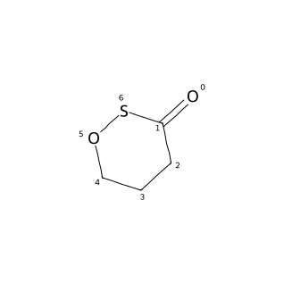 O=C1CCCOS1